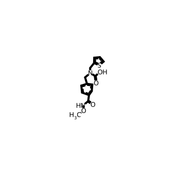 CONC(=O)c1ccc(CN(Cc2cccs2)C(=O)O)cc1